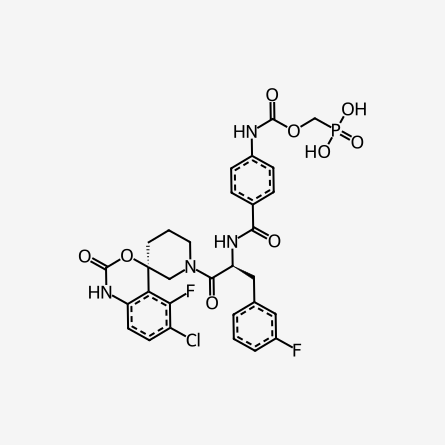 O=C(Nc1ccc(C(=O)N[C@@H](Cc2cccc(F)c2)C(=O)N2CCC[C@@]3(C2)OC(=O)Nc2ccc(Cl)c(F)c23)cc1)OCP(=O)(O)O